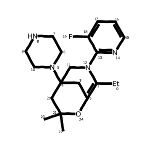 CCC1=C2CC(N3CCNCC3)(CN1c1ncccc1F)CC(C)(C)O2